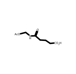 CC(=O)OCNC(=O)CCCC(=O)O